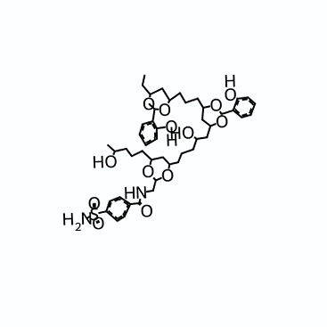 CCC1CC(CCCC2CC(CC(O)CCCC3CC(CCCC(C)O)OC(CNC(=O)c4ccc(S(N)(=O)=O)cc4)O3)OC(c3ccccc3O)O2)OC(c2ccccc2O)O1